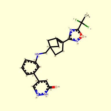 CC(F)(F)c1nc(C2=C3CC(CNc4cccc(-c5cn[nH]c(=O)c5)c4)(CC2)C3)no1